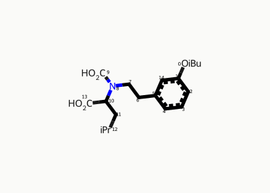 CC(C)COc1cccc(CCN(C(=O)O)C(CC(C)C)C(=O)O)c1